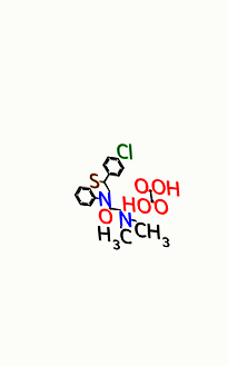 CCN(CC)CC(=O)N1CC(c2ccc(Cl)cc2)Sc2ccccc21.O=C(O)C(=O)O